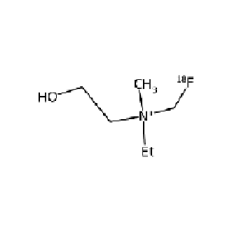 CC[N+](C)(C[18F])CCO